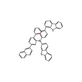 c1ccc(-c2ccc(-c3ccc4ccccc4c3)cc2N(c2ccc(-c3cccc4c3sc3ccccc34)cc2)c2ccc3c(c2)sc2ccccc23)cc1